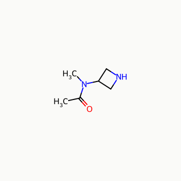 CC(=O)N(C)C1CNC1